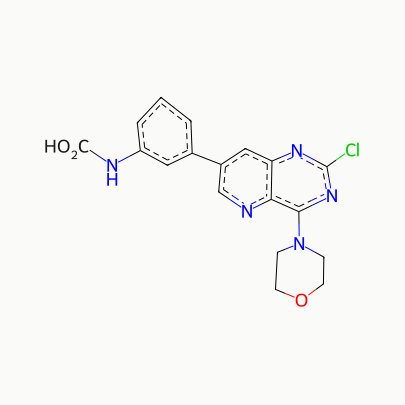 O=C(O)Nc1cccc(-c2cnc3c(N4CCOCC4)nc(Cl)nc3c2)c1